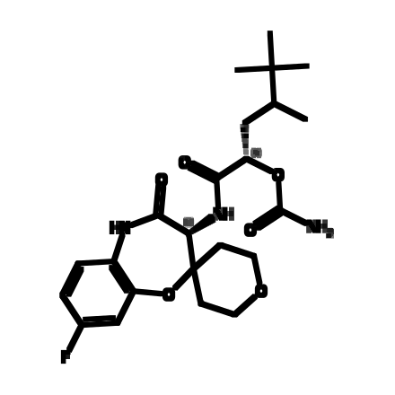 CC(C[C@H](OC(N)=O)C(=O)N[C@@H]1C(=O)Nc2ccc(F)cc2OC12CCOCC2)C(C)(C)C